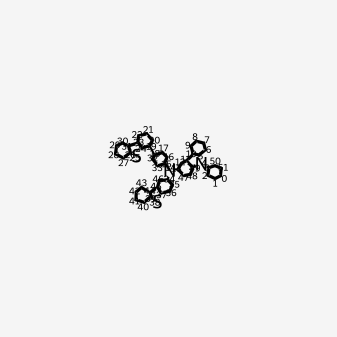 c1ccc(-n2c3ccccc3c3cc(N(c4ccc(-c5cccc6c5sc5ccccc56)cc4)c4ccc5sc6ccccc6c5c4)ccc32)cc1